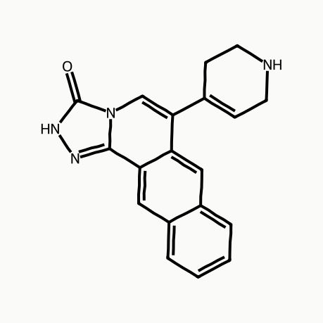 O=c1[nH]nc2c3cc4ccccc4cc3c(C3=CCNCC3)cn12